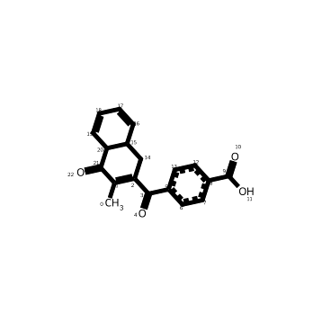 CC1=C(C(=O)c2ccc(C(=O)O)cc2)CC2C=CC=CC2C1=O